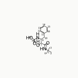 CC(C)(C)NC(=O)C(O)C(Cc1ccccc1)NC(=O)O